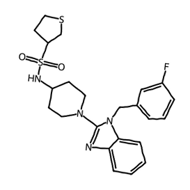 O=S(=O)(NC1CCN(c2nc3ccccc3n2Cc2cccc(F)c2)CC1)C1CCSC1